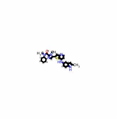 Cc1cc2cc(Nc3ccnc4cc(-c5cnc(C(=O)N(C)C6CCCCC6)n5C)sc34)ccc2[nH]1